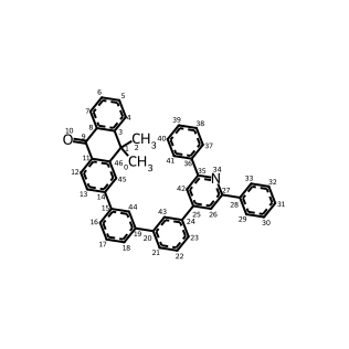 CC1(C)c2ccccc2C(=O)c2ccc(-c3cccc(-c4cccc(-c5cc(-c6ccccc6)nc(-c6ccccc6)c5)c4)c3)cc21